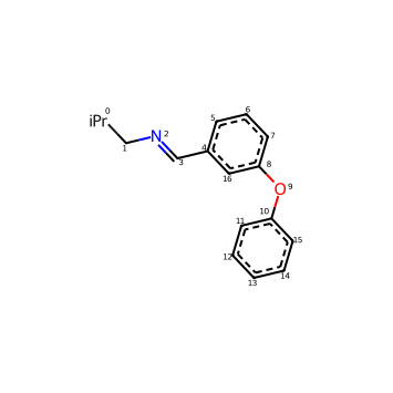 CC(C)CN=Cc1cccc(Oc2ccccc2)c1